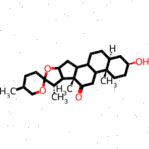 CC1CCC2(OC1)OC1CC3C4CC[C@H]5C[C@@H](O)CC[C@]5(C)C4CC(=O)[C@]3(C)C1[C@@H]2C